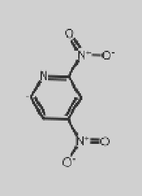 O=[N+]([O-])c1c[c]nc([N+](=O)[O-])c1